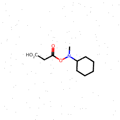 CN(OC(=O)CC(=O)O)C1CCCCC1